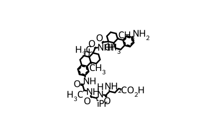 CC(C)[C@H](NC(=O)[C@@H](N)CCC(=O)O)C(=O)N[C@@H](C)C(=O)Nc1ccc2c(c1)[C@@]1(C)CCC[C@](C)(C(=O)NC(=O)[C@@]3(C)CCC[C@]4(C)c5cc(N)ccc5CC[C@@H]34)[C@@H]1CC2